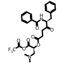 CN(C)C[C@H](OC(=O)CCC(=O)[C@H](Cc1ccccc1)NC(=O)c1ccccc1)C(=O)OC(=O)C(F)(F)F